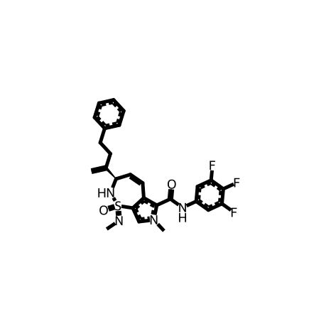 C=C(CCc1ccccc1)[C@H]1C=Cc2c(cn(C)c2C(=O)Nc2cc(F)c(F)c(F)c2)S(=O)(=NC)N1